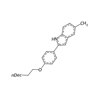 CCCCCCCCCCCCOc1ccc(-c2cc3cc(C)ccc3[nH]2)cc1